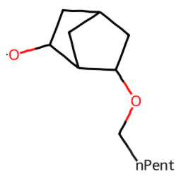 [CH2]CCCCCOC1CC2CC([O])C1C2